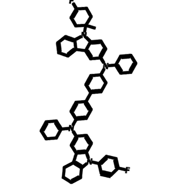 CC1(n2c3ccccc3c3cc(N(c4ccccc4)C4C=CC(c5ccc(N(C6=CC=CCC6)c6ccc7c(c6)c6c(n7-c7c#cc(F)cc7)C=CCC6)cc5)=CC4)ccc32)CC=C(F)CC1